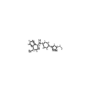 CCc1cn(-c2ccc(Nc3ncc(Br)n4ccnc34)cc2)nn1